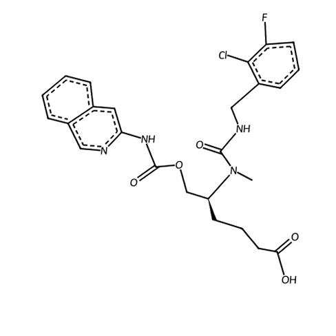 CN(C(=O)NCc1cccc(F)c1Cl)[C@@H](CCCC(=O)O)COC(=O)Nc1cc2ccccc2cn1